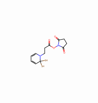 O=C(CCN1C=CC=CC1(S)S)ON1C(=O)CCC1=O